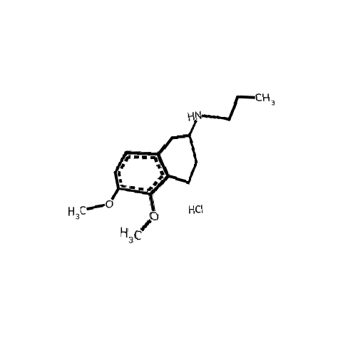 CCCNC1CCc2c(ccc(OC)c2OC)C1.Cl